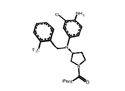 CCCC(C)C(=O)N1CC[C@H](N(Cc2ccccc2C(F)(F)F)c2ccc(N)c(Cl)c2)C1